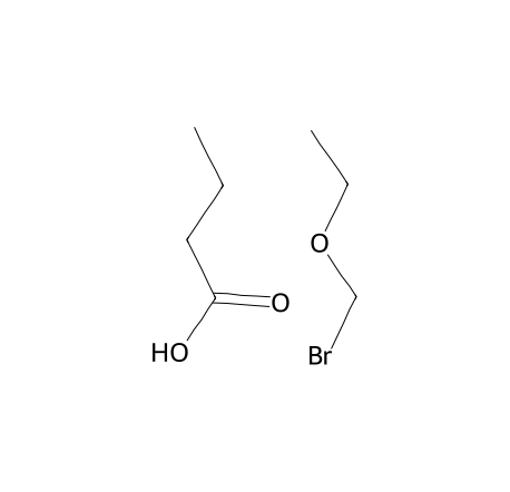 CCCC(=O)O.CCOCBr